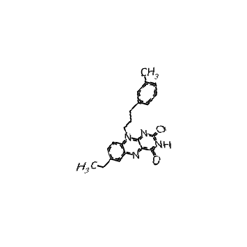 CCc1ccc2c(c1)nc1c(=O)[nH]c(=O)nc-1n2CCCc1cccc(C)c1